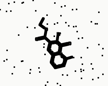 CCOC(=O)c1cc2cccc(C)n2c(=O)c1Br